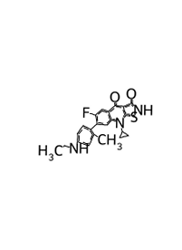 CCNc1ccc(-c2cc3c(cc2F)c(=O)c2c(=O)[nH]sc2n3C2CC2)c(C)c1